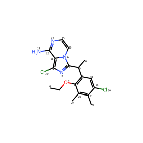 CCOc1c(C(C)c2nc(Cl)c3c(N)nccn23)cc(Cl)c(C)c1C